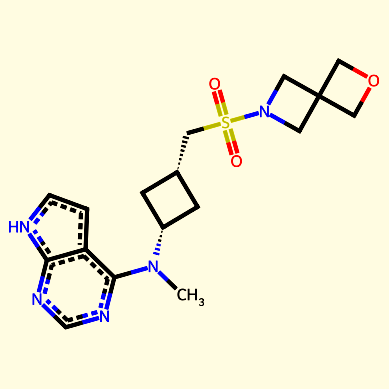 CN(c1ncnc2[nH]ccc12)[C@H]1C[C@@H](CS(=O)(=O)N2CC3(COC3)C2)C1